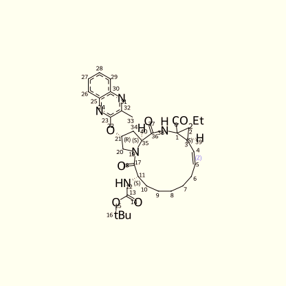 CCOC(=O)C12C[C@H]1/C=C\CCCCC[C@H](NC(=O)OC(C)(C)C)C(=O)N1C[C@H](Oc3nc4ccccc4nc3C)C[C@H]1C(=O)N2